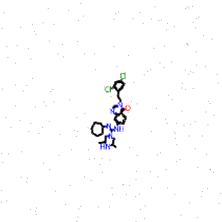 CC1CN(C(=NC2CCCCCC2)Nc2ccc3c(=O)n(CCc4ccc(Cl)cc4Cl)cnc3c2)CC(C)N1